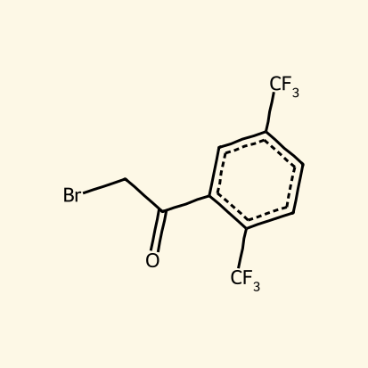 O=C(CBr)c1cc(C(F)(F)F)ccc1C(F)(F)F